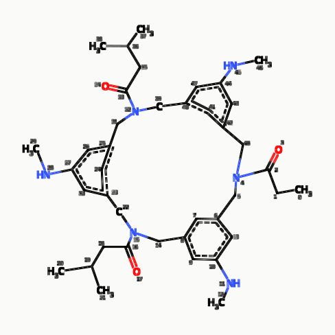 CCC(=O)N1Cc2cc(cc(NC)c2)CN(C(=O)CC(C)C)Cc2cc(cc(NC)c2)CN(C(=O)CC(C)C)Cc2cc(cc(NC)c2)C1